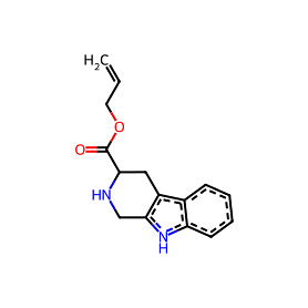 C=CCOC(=O)C1Cc2c([nH]c3ccccc23)CN1